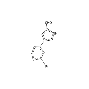 O=Cc1cc(-c2cccc(Br)c2)c[nH]1